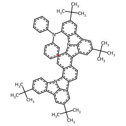 CC(C)(C)c1ccc2c(c1)c1cc(C(C)(C)C)cc3c4ccc5c(ccc6c5c5cc(C(C)(C)C)cc7c8cc(C(C)(C)C)cc(N(c9ccccc9)c9ccccc9)c8n6c75)c4n2c13